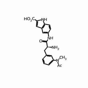 CC(=O)N(C)c1cccc(C[C@H](N)C(=O)Nc2ccc3[nH]c(C(=O)O)cc3c2)c1